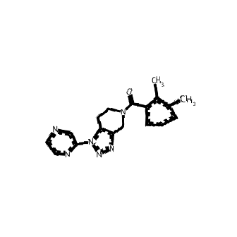 Cc1cccc(C(=O)N2CCc3c(nnn3-c3cnccn3)C2)c1C